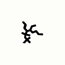 [CH2]C(C)(C)CC(C)(C)C(C=CC)C(CC)CCCC